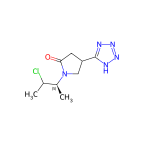 CC(Cl)[C@H](C)N1CC(c2nnn[nH]2)CC1=O